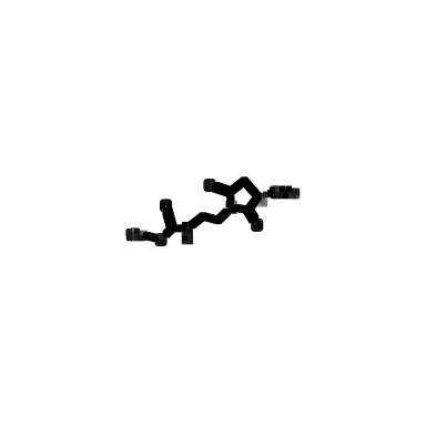 CO[C@H]1CC(=O)N(CCNC(=O)OC(C)(C)C)C1=O